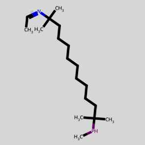 C/C=N\C(C)(C)CCCCCCCCCC(C)(C)PC